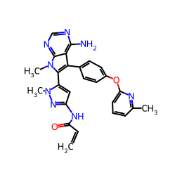 C=CC(=O)Nc1cc(-c2c(-c3ccc(Oc4cccc(C)n4)cc3)c3c(N)ncnc3n2C)n(C)n1